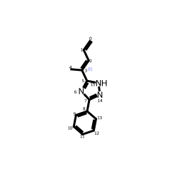 C=C/C=C(\C)c1nc(-c2ccccc2)n[nH]1